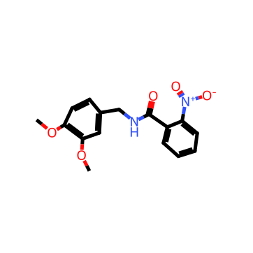 COc1ccc(CNC(=O)c2ccccc2[N+](=O)[O-])cc1OC